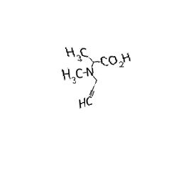 C#CCN(C)C(C)C(=O)O